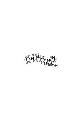 CN(c1ccc(Oc2nc(O)c3ccncc3n2)cc1)C1CCN(c2ccccc2)CC1